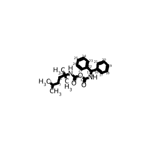 CC(C)CCC(C)(C)NC(=O)OC(=O)NC(c1ccccc1)c1ccccc1